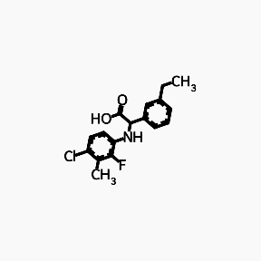 CCc1cccc(C(Nc2ccc(Cl)c(C)c2F)C(=O)O)c1